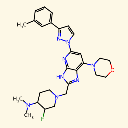 Cc1cccc(-c2ccn(-c3cc(N4CCOCC4)c4nc(CN5CCC(N(C)C)C(F)C5)[nH]c4n3)n2)c1